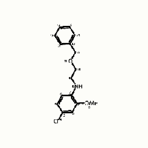 COc1cc(Cl)ccc1NCCOCc1ccccc1